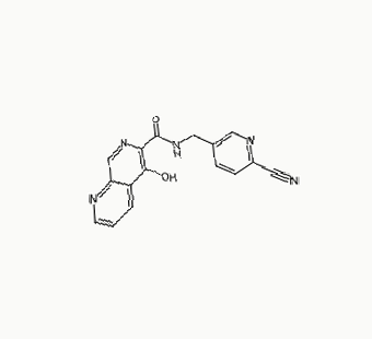 N#Cc1ccc(CNC(=O)c2ncc3ncccc3c2O)cn1